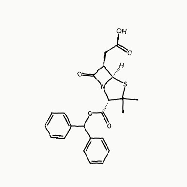 CC1(C)S[C@@H]2[C@H](CC(=O)O)C(=O)N2[C@H]1C(=O)OC(c1ccccc1)c1ccccc1